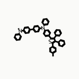 Cc1ccc(-c2sc(-c3ccc(N(c4ccccc4)c4ccc(-c5ccc(N(C)c6ccccc6)cc5)cc4)cc3)c(-c3ccccc3)c2-c2ccccc2)cc1